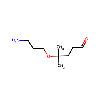 CC(C)(CCC=O)OCCCN